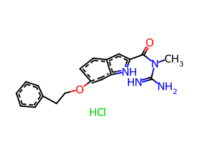 CN(C(=N)N)C(=O)c1cc2ccc(OCCc3ccccc3)cc2[nH]1.Cl